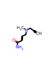 C#CCN(C)CC=CC(N)=O